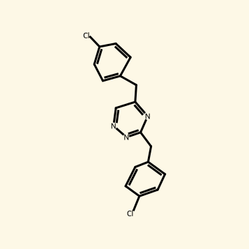 Clc1ccc(Cc2cnnc(Cc3ccc(Cl)cc3)n2)cc1